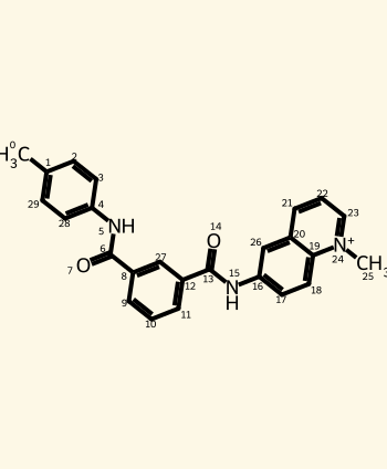 Cc1ccc(NC(=O)c2cccc(C(=O)Nc3ccc4c(ccc[n+]4C)c3)c2)cc1